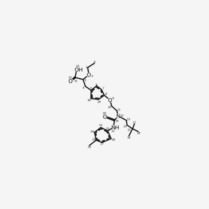 CCOC(Cc1ccc(OCCN(CCC(C)(C)C)C(=O)Nc2ccc(C)cc2)cc1)C(=O)O